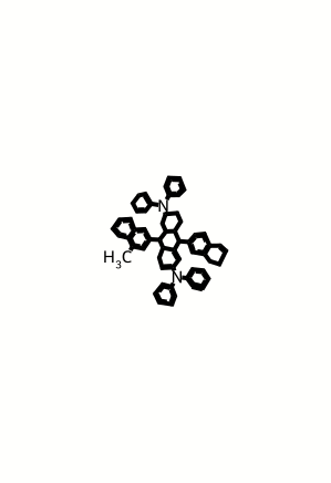 Cc1cc(C2C3CC=C(N(c4c#cccc4)c4ccccc4)C=C3C(c3ccc4c(c3)CCC=C4)C3CCC(N(C4=CCCC=C4)c4ccccc4)CC32)cc2ccccc12